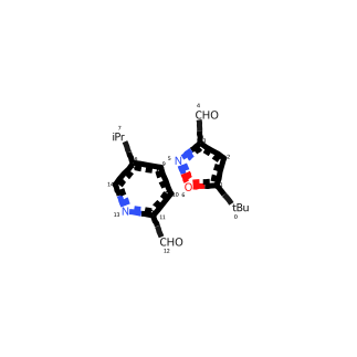 CC(C)(C)c1cc(C=O)no1.CC(C)c1ccc(C=O)nc1